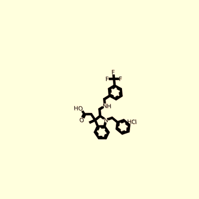 CC1(CC(=O)O)c2ccccc2N(Cc2ccccc2)C1CNCc1cccc(C(F)(F)F)c1.Cl